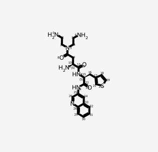 NCCN(CCN)C(=O)C[C@H](N)C(=O)N[C@@H](Cc1ccsc1)C(=O)Nc1cnc2ccccc2c1